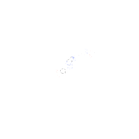 CC(C)(C)OC(=O)NC1CCC(Cn2ncc3cnc(Nc4ccc(S(C)(=O)=O)cc4)nc32)CC1